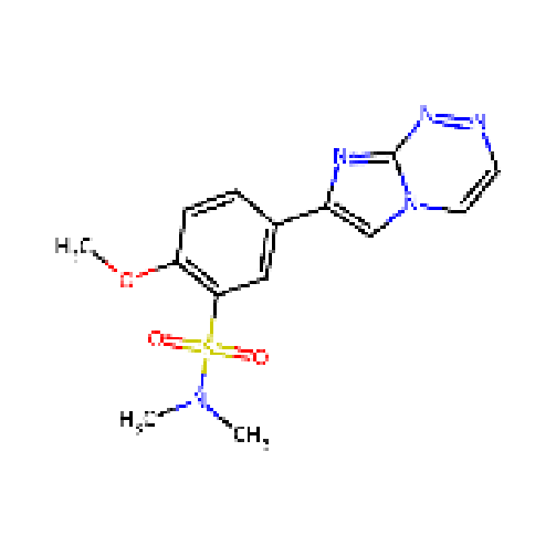 COc1ccc(-c2cn3ccnnc3n2)cc1S(=O)(=O)N(C)C